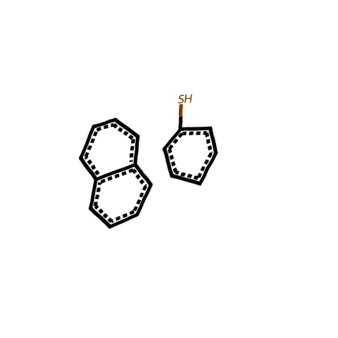 Sc1ccccc1.c1ccc2ccccc2c1